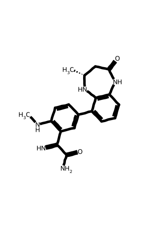 CNc1ccc(-c2cccc3c2N[C@H](C)CC(=O)N3)cc1C(=N)C(N)=O